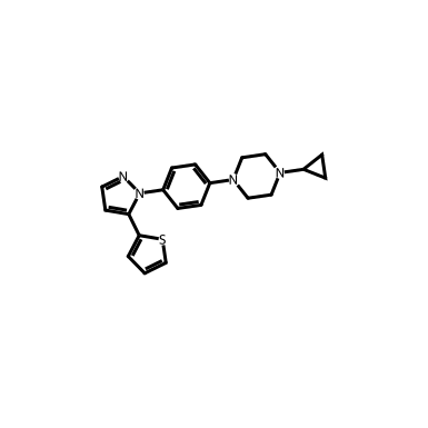 c1csc(-c2ccnn2-c2ccc(N3CCN(C4CC4)CC3)cc2)c1